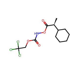 C[C@H](C(=O)ONC(=O)OCC(Cl)(Cl)Cl)C1CCCCC1